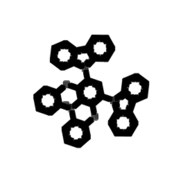 O=P12c3ccccc3Oc3c(-n4c5ccccc5c5ccccc54)cc(-n4c5ccccc5c5ccccc54)c(c31)Oc1ccccc12